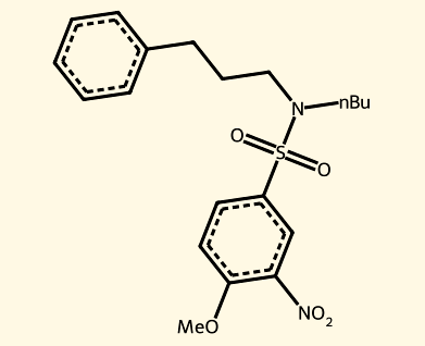 CCCCN(CCCc1ccccc1)S(=O)(=O)c1ccc(OC)c([N+](=O)[O-])c1